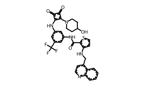 O=C(Nc1cc(Nc2c(N3CCC(O)CC3)c(=O)c2=O)cc(C(F)(F)F)c1)c1sccc1NCc1ccnc2ccccc12